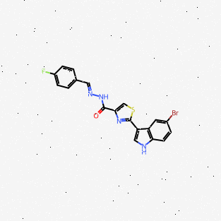 O=C(NN=Cc1ccc(F)cc1)c1csc(-c2c[nH]c3ccc(Br)cc23)n1